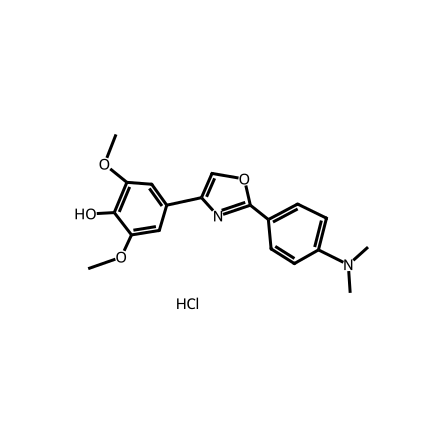 COc1cc(-c2coc(-c3ccc(N(C)C)cc3)n2)cc(OC)c1O.Cl